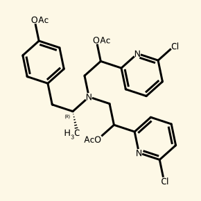 CC(=O)Oc1ccc(C[C@@H](C)N(CC(OC(C)=O)c2cccc(Cl)n2)CC(OC(C)=O)c2cccc(Cl)n2)cc1